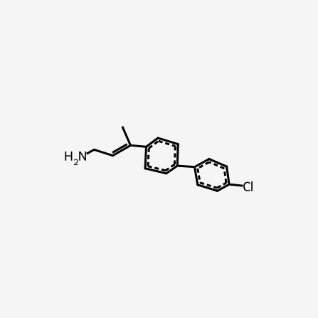 CC(=CCN)c1ccc(-c2ccc(Cl)cc2)cc1